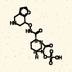 O=C(NOC1CNCc2ccoc21)[C@@H]1CC[C@@H]2CN1C(=O)N2OS(=O)(=O)O